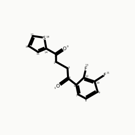 O=C(CCC(=O)c1cccc(F)c1F)c1cccs1